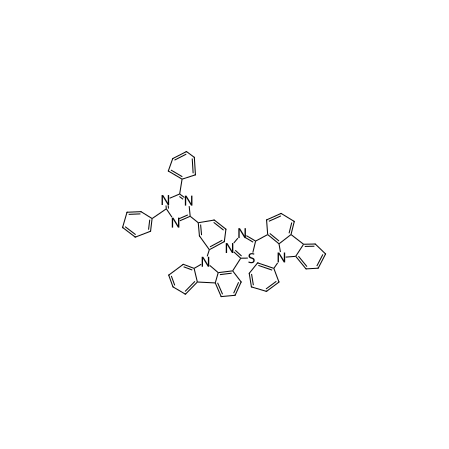 c1ccc(-c2nc(-c3ccccc3)nc(-c3cccc(-n4c5ccccc5c5cccc(-c6nnc(-c7cccc8c9ccccc9n(-c9ccccc9)c78)s6)c54)c3)n2)cc1